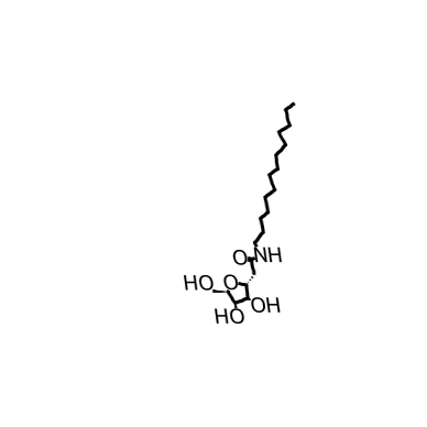 CCCCCCCCCCCCCCNC(=O)C[C@H]1O[C@H](CO)[C@H](O)[C@H]1O